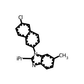 Cc1ccc2nc(C(C)C)n(-c3ccc4cc(Cl)ccc4c3)c2c1